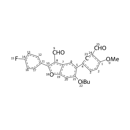 COc1ccc(-c2cc3c(C=O)c(-c4ccc(F)cc4)oc3cc2OCC(C)C)cc1C=O